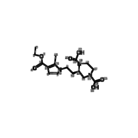 CCOC(=O)c1ccn(CC[C@@H]2CN(C(=O)O)CCN2C(=O)O)c1C